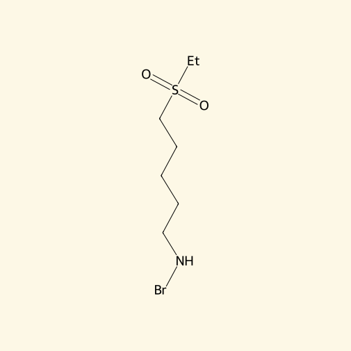 CCS(=O)(=O)CCCCCNBr